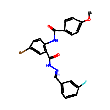 CCOc1ccc(C(=O)Nc2ccc(Br)cc2C(=O)N/N=C/c2cccc(F)c2)cc1